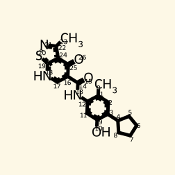 Cc1cc(C2CCCC2)c(O)cc1NC(=O)c1c[nH]c2snc(C)c2c1=O